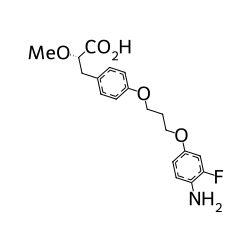 CO[C@@H](Cc1ccc(OCCCOc2ccc(N)c(F)c2)cc1)C(=O)O